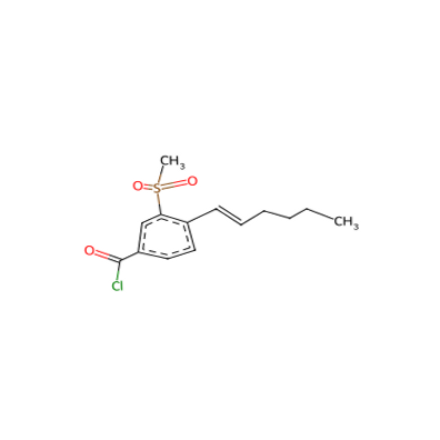 CCCCC=Cc1ccc(C(=O)Cl)cc1S(C)(=O)=O